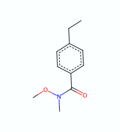 CCc1ccc(C(=O)N(C)OC)cc1